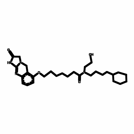 O=C1CN2Cc3c(cccc3OCCCCCCC(=O)N(CCO)CCCCC3CCCCC3)N=C2N1